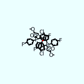 COC(=O)COc1c(Cl)ccc(P(=O)(c2ccc(F)cc2)c2ccc(F)cc2)c1-c1c(P(=O)(c2ccc(F)cc2)c2ccc(F)cc2)ccc(Cl)c1OCC(=O)OC